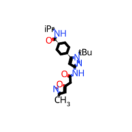 Cc1cc(CC(=O)Nc2cc([C@H]3CC[C@@H](C(=O)NC(C)C)CC3)n(C(C)(C)C)n2)on1